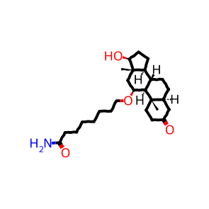 C[C@]12CCC(=O)C[C@@H]1CC[C@@H]1[C@@H]2[C@@H](OCCCCCCCC(N)=O)C[C@]2(C)[C@@H](O)CC[C@@H]12